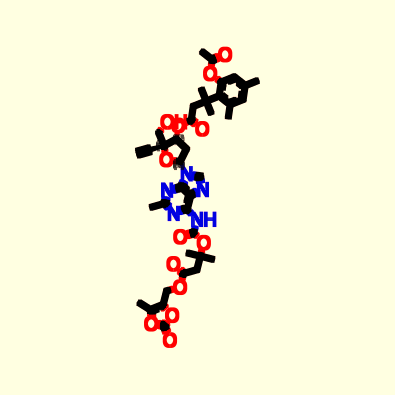 C#C[C@]1(CO)O[C@@H](n2cnc3c(NC(=O)OC(C)(C)CC(=O)OCc4oc(=O)oc4C)nc(C)nc32)C[C@@H]1OC(=O)CC(C)(C)c1c(C)cc(C)cc1OC(C)=O